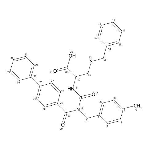 Cc1ccc(CN(C(=O)NC(CSCc2ccccc2)C(=O)O)C(=O)c2ccc(-c3ccccc3)cc2)cc1